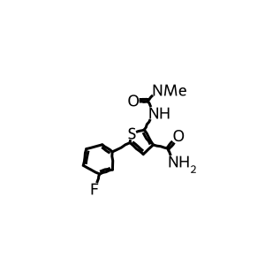 CNC(=O)Nc1sc(-c2cccc(F)c2)cc1C(N)=O